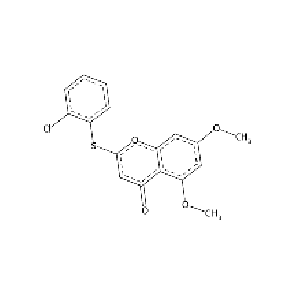 COc1cc(OC)c2c(=O)cc(Sc3ccccc3Cl)oc2c1